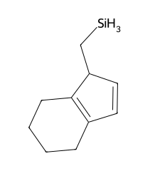 [SiH3]CC1C=CC2=C1CCCC2